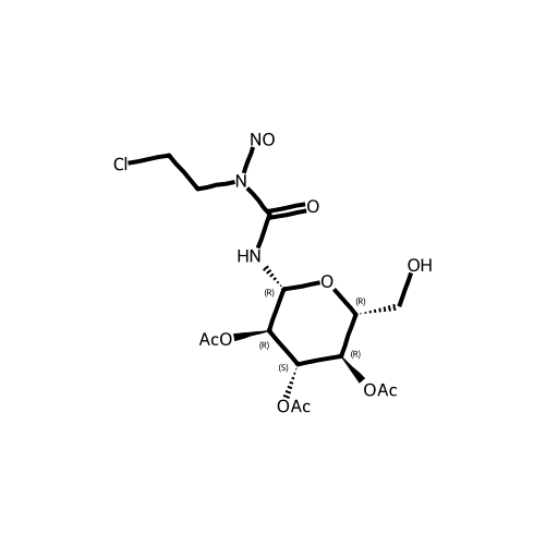 CC(=O)O[C@@H]1[C@@H](OC(C)=O)[C@H](NC(=O)N(CCCl)N=O)O[C@H](CO)[C@H]1OC(C)=O